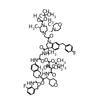 C[C@@H]1COCCN1C[C@H]1CN(C(=O)OC(C)(C)C)[C@H](C)CN1CC(=O)N1CC(C)(C(=O)NCC(=O)Nc2ccc3c(c2)CN(C(=O)[C@@H](NC(=O)[C@H](C)N(C)C(=O)OC(C)(C)C)C2CCOCC2)[C@H](C(=O)Nc2c(F)cccc2F)C3)c2ccc(Cc3ccc(F)cc3)cc21